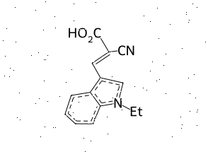 CCn1cc(/C=C(\C#N)C(=O)O)c2ccccc21